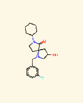 O=C1N(C2CCCCC2)CCC12CC(O)CN2Cc1cccc(F)c1